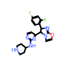 Fc1ccc(C2N=C3OC=CN3C2c2ccnc(NC3CCNCC3)n2)c(F)c1